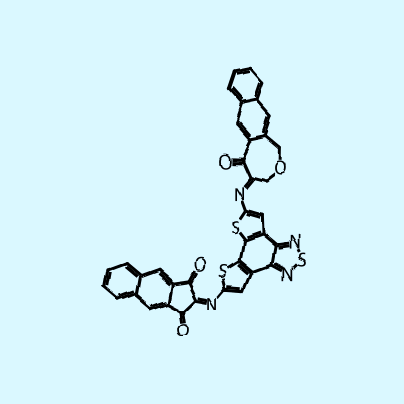 O=C1/C(=N/c2cc3c4nsnc4c4cc(N=c5c(=O)c6cc7ccccc7cc6c5=O)sc4c3s2)COCc2cc3ccccc3cc21